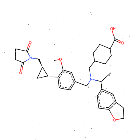 COc1cc(CN(CC2CCC(C(=O)O)CC2)C(C)c2ccc3c(c2)CCO3)ccc1[C@@H]1C[C@H]1CN1C(=O)CCC1=O